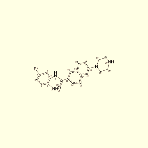 Nc1ccc(F)cc1NC(=O)c1cnc2cc(N3CCNCC3)ccc2c1